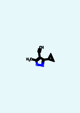 C#CC1=C(C)[N]N=C1C1CC1